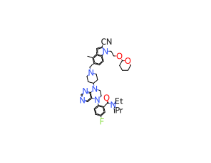 CCN(C(=O)c1cc(F)ccc1N1CCN(C2CCN(Cc3ccc4c(cc(C#N)n4CCOC4CCCCO4)c3C)CC2)c2ncncc21)C(C)C